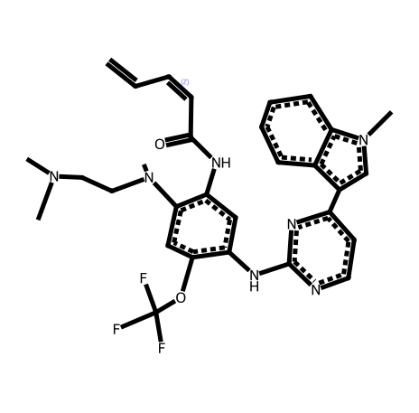 C=C/C=C\C(=O)Nc1cc(Nc2nccc(-c3cn(C)c4ccccc34)n2)c(OC(F)(F)F)cc1N(C)CCN(C)C